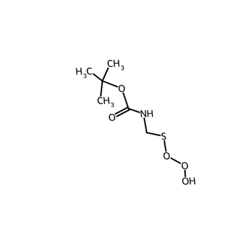 CC(C)(C)OC(=O)NCSOOO